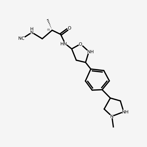 C[C@@H](CNC#N)C(=O)NC1CC(c2ccc(C3CNN(C)C3)cc2)NO1